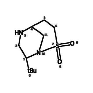 CC(C)(C)C1CNC2CCS(=O)(=O)N1C2